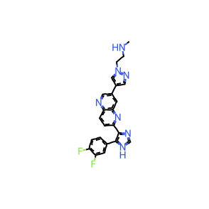 CNCCn1cc(-c2cnc3ccc(-c4nc[nH]c4-c4ccc(F)c(F)c4)nc3c2)cn1